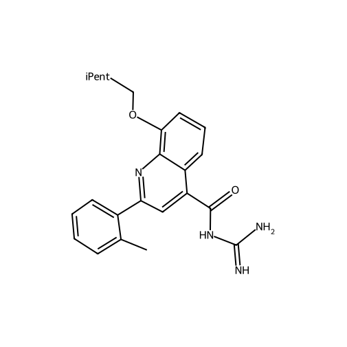 CCCC(C)COc1cccc2c(C(=O)NC(=N)N)cc(-c3ccccc3C)nc12